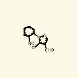 O=Cc1cnn(-c2ccccc2[N+](=O)[O-])c1Cl